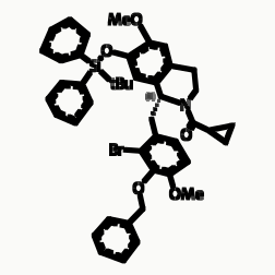 COc1cc2c(cc1O[Si](c1ccccc1)(c1ccccc1)C(C)(C)C)[C@@H](Cc1ccc(OC)c(OCc3ccccc3)c1Br)N(C(=O)C1CC1)CC2